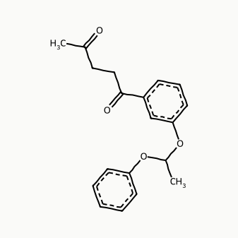 CC(=O)CCC(=O)c1cccc(OC(C)Oc2ccccc2)c1